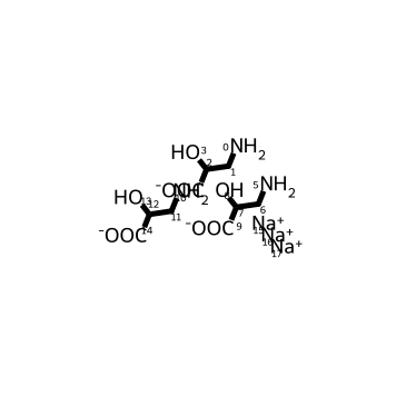 NCC(O)C(=O)[O-].NCC(O)C(=O)[O-].NCC(O)C(=O)[O-].[Na+].[Na+].[Na+]